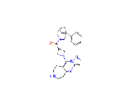 O=C(C1CN(c2c3c(nc4ccnn24)CCNCC3)C1)N1CC2CC(c3ccccc3)(C2)C1